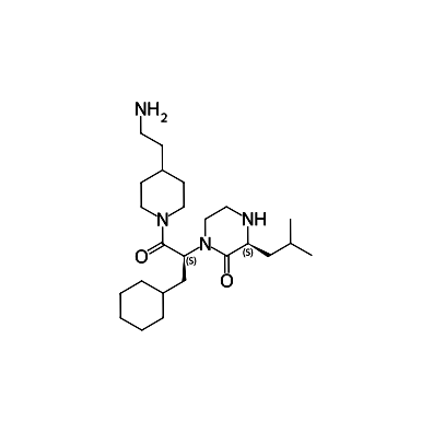 CC(C)C[C@@H]1NCCN([C@@H](CC2CCCCC2)C(=O)N2CCC(CCN)CC2)C1=O